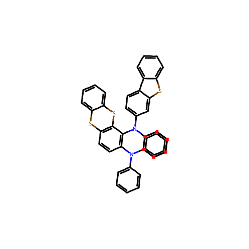 c1ccc(N(c2ccccc2)c2ccc3c(c2N(c2ccccc2)c2ccc4c(c2)sc2ccccc24)Sc2ccccc2S3)cc1